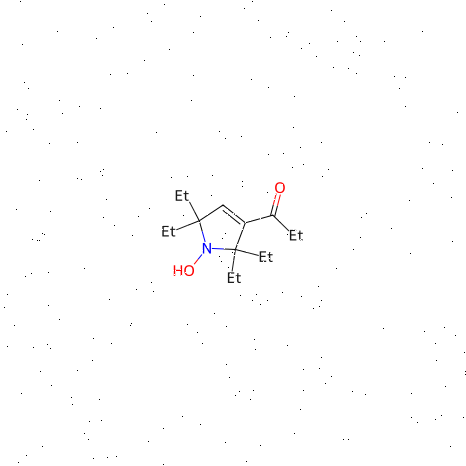 CCC(=O)C1=CC(CC)(CC)N(O)C1(CC)CC